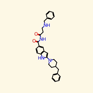 O=C(CCNCc1ccccc1)NC(=O)c1ccc2[nH]c(N3CCC(Cc4ccccc4)CC3)cc2c1